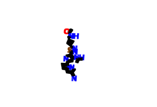 CC(=O)NC[C@H]1C[C@H](c2nnc(-c3cnc(-c4ccc5cc(C#N)cnn45)cc3NC(C)C)s2)C1